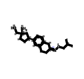 CC(C)CO/N=C1/CCc2cc([C@H]3CC[C@](N)(CO)C3)ccc2C1